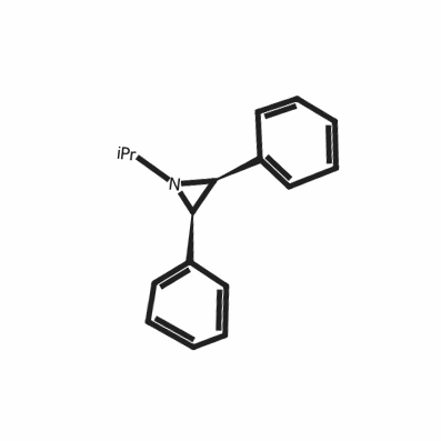 CC(C)N1[C@H](c2ccccc2)[C@@H]1c1ccccc1